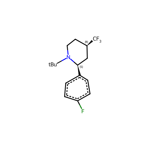 CC(C)(C)N1CC[C@@H](C(F)(F)F)C[C@H]1c1ccc(F)cc1